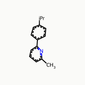 Cc1cccc(-c2ccc(C(C)C)cc2)n1